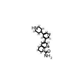 NC(=O)N1CCCc2cc(-c3cncc(C4CCNCC4)c3)cnc21